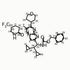 O=C(N[C@H](c1cn2nc(C[C@H]3C[C@@H](C(F)(F)F)CNC3=O)c(C3CCOCC3)nc2n1)C(C1CC1)C1CC1)OCc1ccccc1